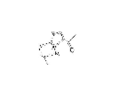 CC(=O)c1cnc2ccc(C)nn12